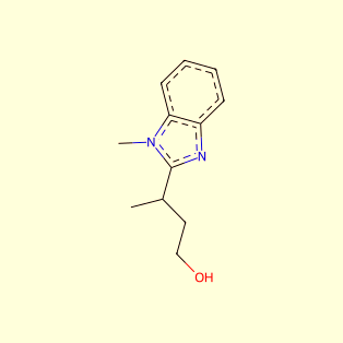 CC(CCO)c1nc2ccccc2n1C